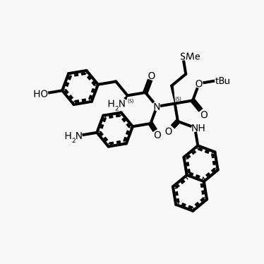 CSCC[C@](C(=O)Nc1ccc2ccccc2c1)(C(=O)OC(C)(C)C)N(C(=O)c1ccc(N)cc1)C(=O)[C@@H](N)Cc1ccc(O)cc1